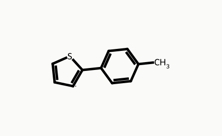 Cc1ccc(-c2[c]ccs2)cc1